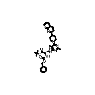 Cc1nc(NC[C@H](NC(=O)OCc2ccccc2)C(=O)OC(C)(C)C)c(C)c(N2CCC(c3ccc4cccnc4n3)CC2)n1